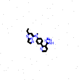 CCc1cc(N(C)c2ccc(-c3ncccc3-c3nnn[nH]3)cc2)n2nccc2n1